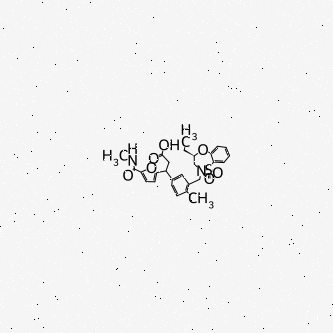 CC[C@@H]1CN(Cc2cc(C(CC(=O)O)c3ccc(C(=O)NC)o3)ccc2C)S(=O)(=O)c2ccccc2O1